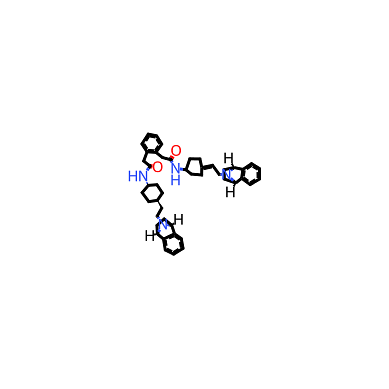 O=C(Cc1ccccc1CC(=O)N[C@H]1CC[C@H](CCN2[C@@H]3CC[C@H]2c2ccccc23)CC1)NC1CCC(=CCN2[C@@H]3CC[C@H]2c2ccccc23)CC1